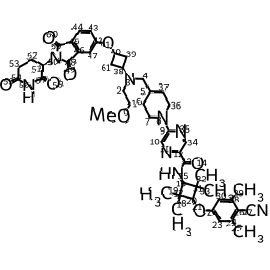 COCCN(CC1CCN(c2cnc(C(=O)NC3C(C)(C)C(Oc4cc(C)c(C#N)c(C)c4)C3(C)C)cn2)CC1)C1CC(Oc2ccc3c(c2)C(=O)N([C@@H]2CCC(=O)NC2=O)C3=O)C1